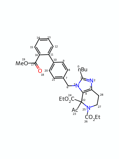 CCCCc1nc2c(n1Cc1ccc(-c3ccccc3C(=O)OC)cc1)C(C(C)=O)(C(=O)OCC)N(C(=O)OCC)CC2